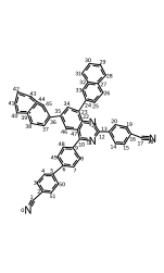 N#Cc1ccc(-c2ccc(-c3nc(-c4ccc(C#N)cc4)nc4c(-c5ccc6ccccc6c5)cc(-c5ccc6ccccc6c5)cc34)cc2)cc1